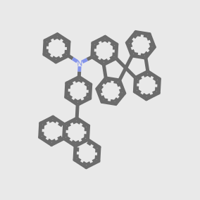 c1ccc(N(c2ccc(-c3cc4ccccc4c4ccccc34)cc2)c2cccc3c2-c2ccccc2C32c3ccccc3-c3ccccc32)cc1